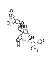 CC1CCC(CN2CCN(c3ccc(C(=O)NS(=O)(=O)c4ccc(NCC5COCCO5)c([N+](=O)[O-])c4)c(Oc4cnc5[nH]ccc5c4)c3)CC2C)=C(c2ccc(Cl)cc2)C1